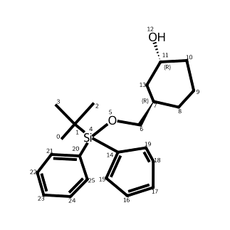 CC(C)(C)[Si](OC[C@@H]1CCC[C@@H](O)C1)(c1ccccc1)c1ccccc1